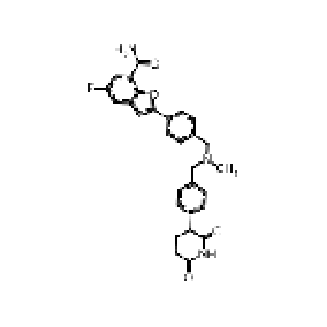 CN(Cc1ccc(-c2cc3cc(F)cc(C(N)=O)c3o2)cc1)Cc1ccc(C2CCC(=O)NC2=O)cc1